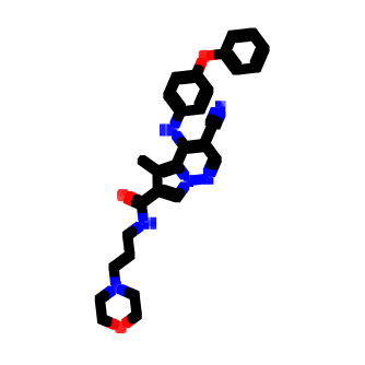 Cc1c(C(=O)NCCCN2CCOCC2)cn2ncc(C#N)c(Nc3ccc(Oc4ccccc4)cc3)c12